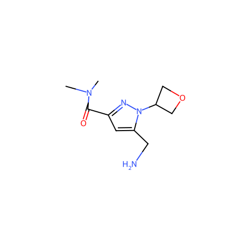 CN(C)C(=O)c1cc(CN)n(C2COC2)n1